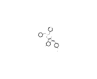 CSc1ccc(/C=C2/C(C)=C(CN(Cc3ccccc3)Cc3ccncc3)c3cc(F)ccc32)cc1